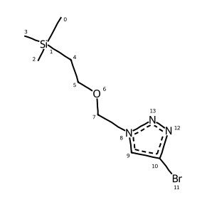 C[Si](C)(C)CCOCn1cc(Br)nn1